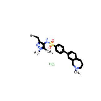 Cc1c(NS(=O)(=O)c2ccc(C3=CCC4=CCCN(C)CC4=C3)cc2)c(CC(C)C)nn1C.Cl